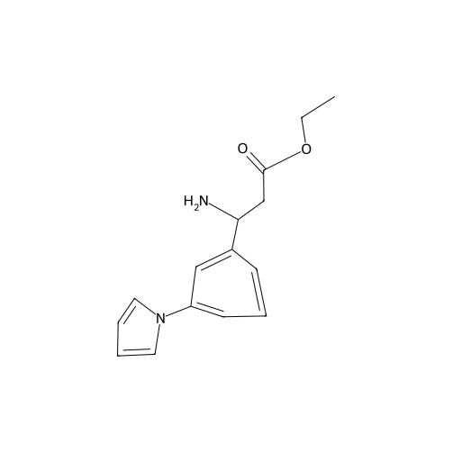 CCOC(=O)CC(N)c1cccc(-n2cccc2)c1